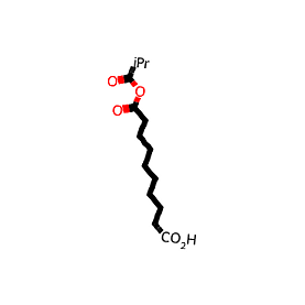 CC(C)C(=O)OC(=O)CCCCCCCCC(=O)O